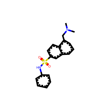 CN(C)Cc1cccc2cc(S(=O)(=O)Nc3ccccc3)ccc12